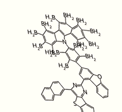 Bc1c(B)c(-n2c3c(B)c(B)c(B)c(B)c3c3c(B)c(B)c4c(B)c(B)c(B)c(B)c4c32)c(B)c(B)c1-c1cc(-c2nc(-c3ccc4ccccc4c3)c3sc4ccccc4c3n2)c2c(c1)oc1ccccc12